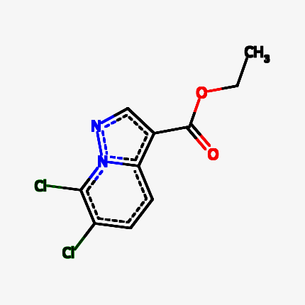 CCOC(=O)c1cnn2c(Cl)c(Cl)ccc12